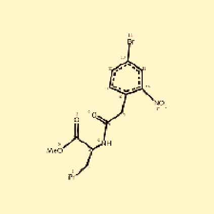 COC(=O)[C@H](CC(C)C)NC(=O)Cc1ccc(Br)cc1[N+](=O)[O-]